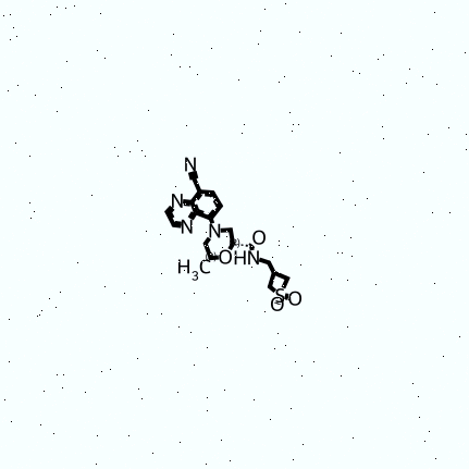 C[C@@H]1CN(c2ccc(C#N)c3nccnc23)C[C@H](C(=O)NCC2CS(=O)(=O)C2)O1